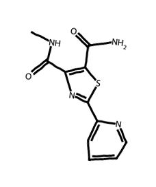 CNC(=O)c1nc(-c2ccccn2)sc1C(N)=O